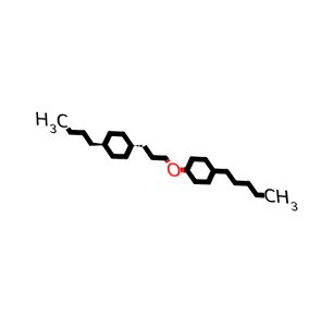 CCCCCC1CCC(OCCC[C@H]2CC[C@H](CCCC)CC2)CC1